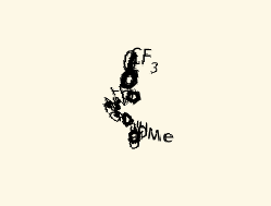 CO[C@H]1COCC[C@H]1NC1CCN(C(=O)c2cc(NC[C@H]3CCC[C@@H](c4ccc(OC(F)(F)F)cc4)O3)ncn2)CC1